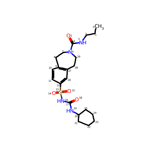 CCCNC(=O)N1CCc2ccc(S(=O)(=O)NC(=O)NC3CCCCC3)cc2CC1